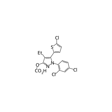 CCc1c(OC(=O)O)nn(-c2ccc(Cl)cc2Cl)c1-c1ccc(Cl)s1